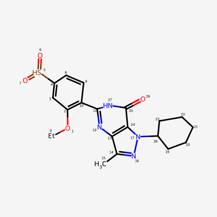 CCOc1cc([SH](=O)=O)ccc1-c1nc2c(C)nn(C3CCCCC3)c2c(=O)[nH]1